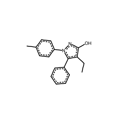 CCc1c(O)nn(-c2ccc(C)cc2)c1-c1ccccc1